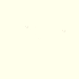 Nc1cc2ccccc2cc1C(=O)Oc1ccc(N)c2ccccc12